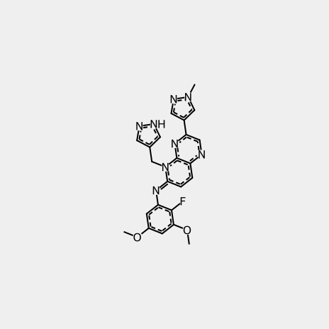 COc1cc(/N=c2\ccc3ncc(-c4cnn(C)c4)nc3n2Cc2cn[nH]c2)c(F)c(OC)c1